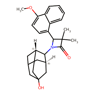 COc1ccc(C2N(C3[C@@H]4CC5C[C@H]3CC(O)(C5)C4)C(=O)C2(C)C)c2ccccc12